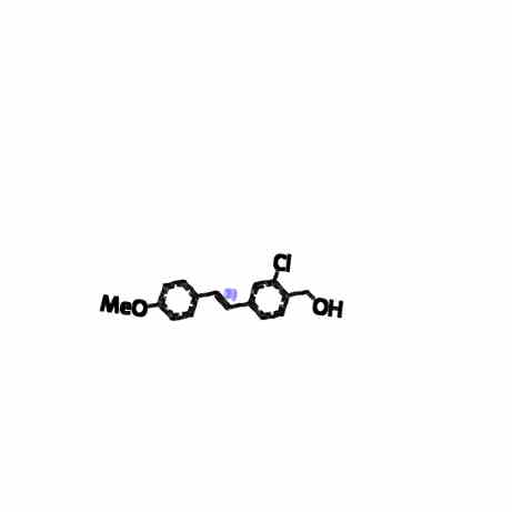 COc1ccc(/C=C/c2ccc(CO)c(Cl)c2)cc1